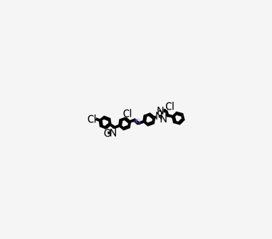 Clc1ccc2c(-c3ccc(/C=C/c4ccc(-n5nc(Cl)c(-c6ccccc6)n5)cc4)c(Cl)c3)noc2c1